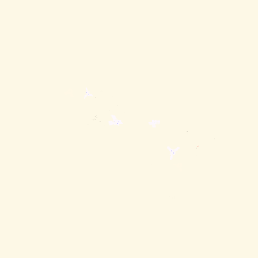 C=C/C=C\C=C(/C)c1c(N(/C2=C(C)/C=C\C(=C)c3cccc(C4=CCC(C)C=C4)c3O2)c2ccccc2)ccc2c1[nH]c1cc3c4ccc(N(C5=CC=CCC5)c5c(C)ccc6c5oc5c(-c7ccccc7)cccc56)c5c6ccccc6n(c3cc12)c45